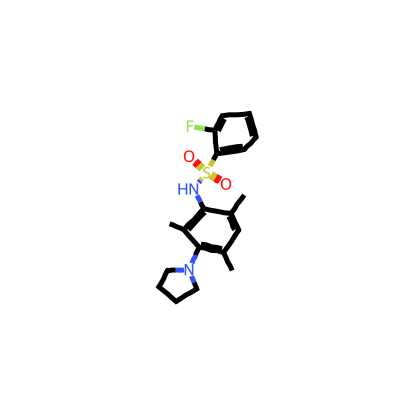 Cc1cc(C)c(N2CCCC2)c(C)c1NS(=O)(=O)c1ccccc1F